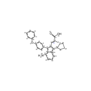 C/C(=C\c1c(-c2ccc(Oc3ccccc3)cc2)c2c(N)ncnn2c1C1CCCC1)C(=O)O